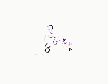 C=C[C@@H]1C[C@]1(NC(=O)[C@@H]1C[C@@H](Oc2nccc3c(Cl)c(OC)ccc23)CN1C(=O)[C@@H](CC(=O)N1CCCC(F)(F)C1)C(C)(C)C)C(=O)NS(=O)(=O)C1CC1